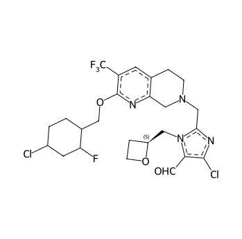 O=Cc1c(Cl)nc(CN2CCc3cc(C(F)(F)F)c(OCC4CCC(Cl)CC4F)nc3C2)n1C[C@@H]1CCO1